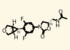 CC(=O)NC[C@H]1CN(c2cc(F)c([C@H]3[C@@H]4COC[C@@H]43)c(F)c2)C(=O)O1